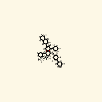 CC1(C)c2ccccc2-c2ccc(N(c3ccc(-c4ccccc4)cc3)c3ccccc3-c3cccc4c3oc3cc5ccccc5cc34)cc21